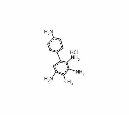 Cc1c(N)cc(-c2ccc(N)cc2)c(N)c1N.Cl